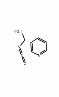 O=C=NCC(=O)O.c1ccncc1